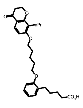 CCCc1c(OCCCCCOc2ccccc2CCCCC(=O)O)ccc2c1OCCC2=O